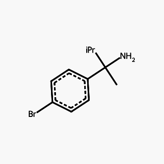 CC(C)C(C)(N)c1ccc(Br)cc1